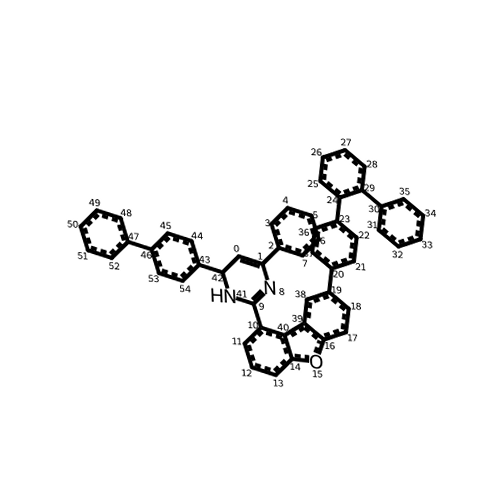 C1=C(c2ccccc2)N=C(c2cccc3oc4ccc(-c5ccc(-c6ccccc6-c6ccccc6)cc5)cc4c23)NC1c1ccc(-c2ccccc2)cc1